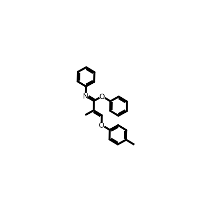 CC(=C\Oc1ccc(C)cc1)/C(=N/c1ccccc1)Oc1ccccc1